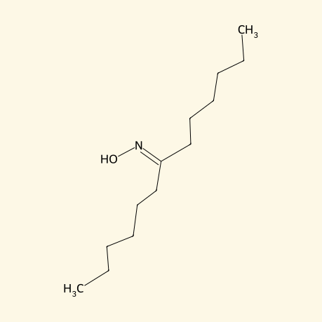 CCCCCCC(CCCCCC)=NO